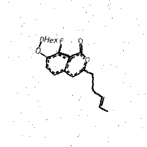 C/C=C/CCc1cc2ccc(OCCCCCC)c(F)c2c(=O)o1